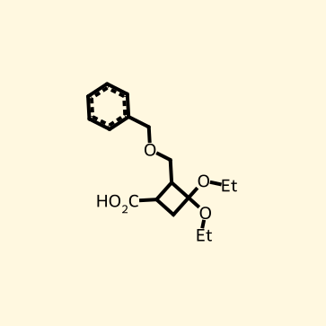 CCOC1(OCC)CC(C(=O)O)C1COCc1ccccc1